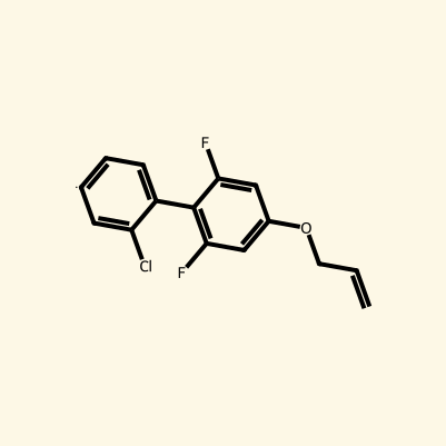 C=CCOc1cc(F)c(-c2cc[c]cc2Cl)c(F)c1